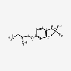 NCC(O)COc1ccc(SC(F)(F)F)cc1